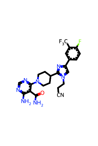 N#CCCn1cc(-c2ccc(F)c(C(F)(F)F)c2)nc1C1CCN(c2ncnc(N)c2C(N)=O)CC1